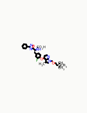 Cc1cn(COCC[Si](C)(C)C)c2nccc(Oc3ccc(C[C@H](NC(=O)O)c4nc(-c5ccccc5)no4)cc3F)c12